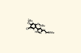 CCCCOc1cc(OCCCC)c(-c2cc(CCNC)n[nH]2)cc1Cl